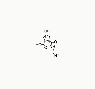 CN(C)CCNC(=O)[C@@H]1C[C@H](O)CN1C(=O)O